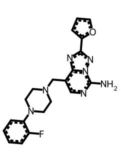 Nc1ncc(CN2CCN(c3ccccc3F)CC2)c2nc(-c3ccco3)nn12